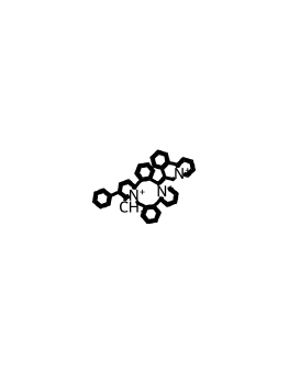 Cc1c(-c2ccccc2)ccc2[n+]1Cc1ccccc1-c1cccc[n+]1/C(=C1\C[n+]3ccccc3-c3ccccc31)c1ccccc1-2